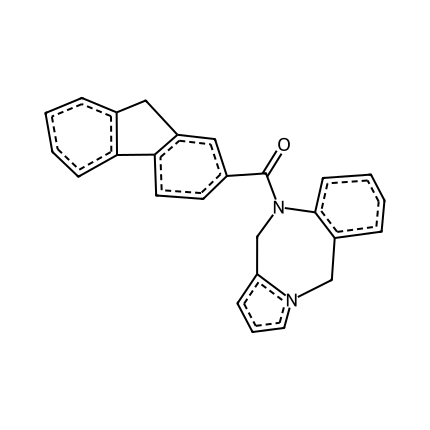 O=C(c1ccc2c(c1)Cc1ccccc1-2)N1Cc2cccn2Cc2ccccc21